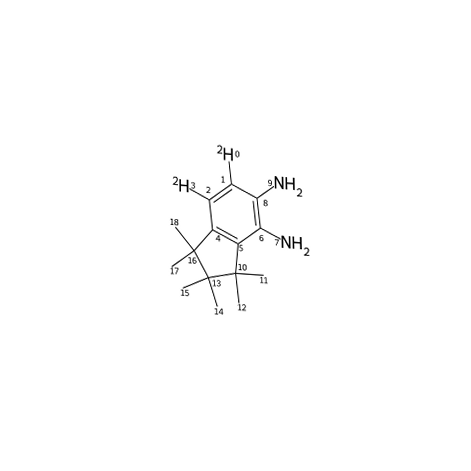 [2H]c1c([2H])c2c(c(N)c1N)C(C)(C)C(C)(C)C2(C)C